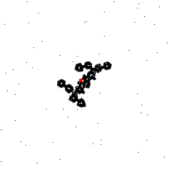 Cc1cc(N(c2ccc(-c3ccccc3)cc2)c2cccc(-c3ccccc3)c2)cc2c1-c1ccc3c(c1C2(C)C)C(C)(C)c1cc(N(c2ccc(-c4ccccc4)cc2)c2cccc(-c4ccccc4)c2)cc(C)c1-3